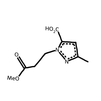 COC(=O)CCn1nc(C)cc1C(=O)O